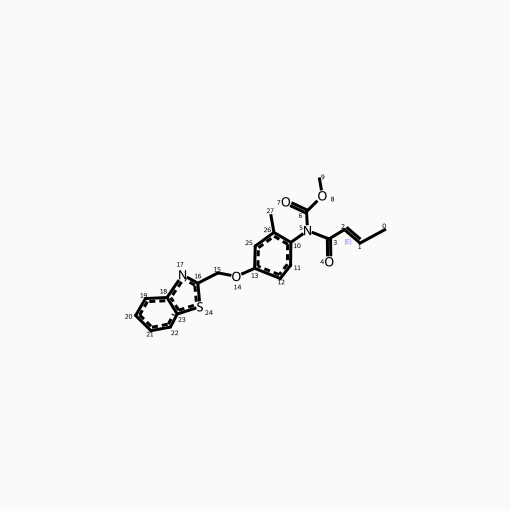 C/C=C/C(=O)N(C(=O)OC)c1ccc(OCc2nc3ccccc3s2)cc1C